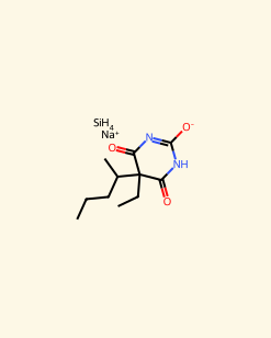 CCCC(C)C1(CC)C(=O)N=C([O-])NC1=O.[Na+].[SiH4]